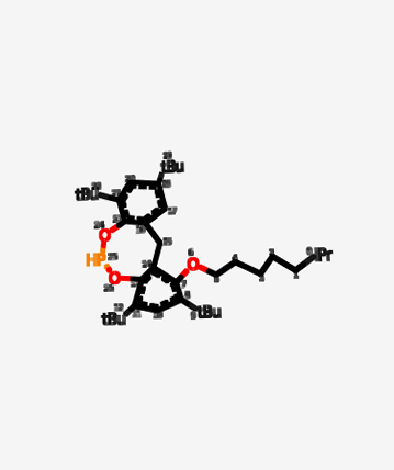 CC(C)CCCCCOc1c(C(C)(C)C)cc(C(C)(C)C)c2c1Cc1cc(C(C)(C)C)cc(C(C)(C)C)c1OPO2